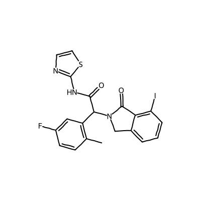 Cc1ccc(F)cc1C(C(=O)Nc1nccs1)N1Cc2cccc(I)c2C1=O